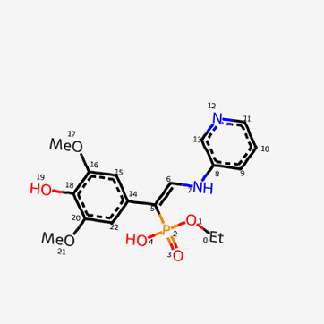 CCOP(=O)(O)C(=CNc1cccnc1)c1cc(OC)c(O)c(OC)c1